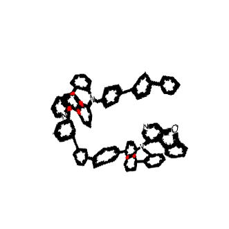 c1ccc(-c2ccc(-c3ccc(N(c4ccccc4-c4ccc(-c5cccc(-c6cccc(-c7ccc(-c8ccc(N(c9ccccc9-c9ccccc9)c9cncc%10oc%11ccccc%11c9%10)cc8)cc7)c6)c5)cc4)c4cccc5c4oc4cccnc45)cc3)cc2)cc1